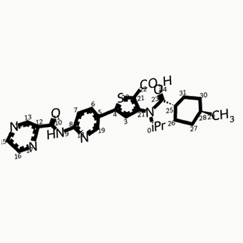 CC(C)N(c1cc(-c2ccc(NC(=O)c3cnccn3)nc2)sc1C(=O)O)C(=O)[C@H]1CC[C@H](C)CC1